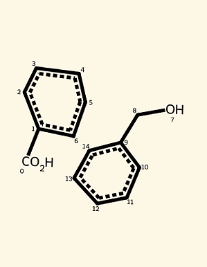 O=C(O)c1ccccc1.OCc1ccccc1